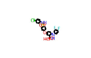 O=C(O)c1cc(Oc2ccc(S(=O)(=O)Nc3ccc(Cl)cc3)cc2)ccc1Nc1ccc(F)c(F)c1